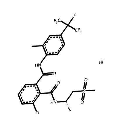 Cc1cc(C(F)(C(F)(F)F)C(F)(F)F)ccc1NC(=O)c1cccc(Cl)c1C(=O)N[C@@H](C)CS(C)(=O)=O.I